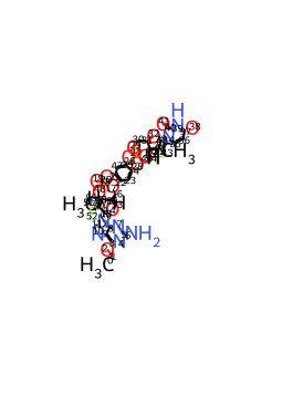 CCOc1nc(N)nc2c1ncn2[C@@H]1O[C@@H]2COP(=O)(Oc3cccc(OP4(=O)OCC5O[C@@H](n6ccc(=O)[nH]c6=O)[C@](C)(F)[C@@H]5O4)c3)O[C@H]2[C@@]1(C)F